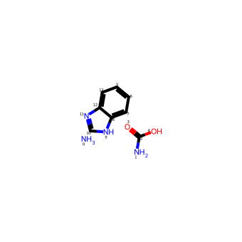 N.NC(=O)O.c1ccc2[nH]cnc2c1